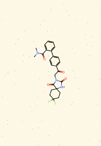 CN(C)C(=O)c1ccccc1-c1ccc(C(=O)CN2C(=O)NC3(CCC(F)(F)CC3)C2=O)cc1